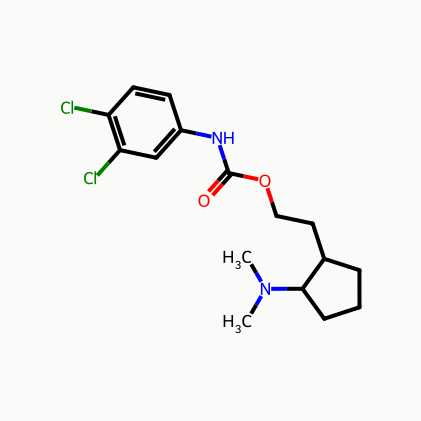 CN(C)C1CCCC1CCOC(=O)Nc1ccc(Cl)c(Cl)c1